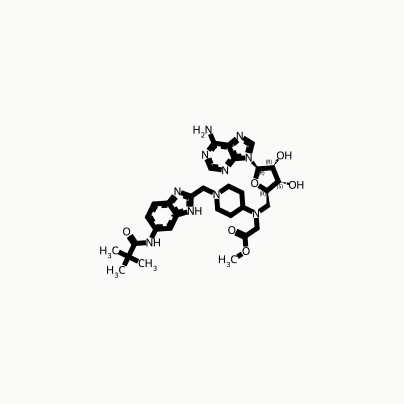 COC(=O)CN(C[C@H]1O[C@@H](n2cnc3c(N)ncnc32)[C@H](O)[C@@H]1O)C1CCN(Cc2nc3ccc(NC(=O)C(C)(C)C)cc3[nH]2)CC1